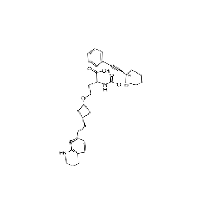 O=C(NC(CCO[C@H]1C[C@H](CCc2ccc3c(n2)NCCC3)C1)C(=O)O)O[C@H]1CCCC[C@@H]1C#Cc1ccccc1